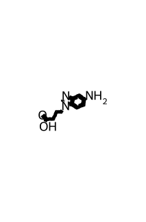 Nc1ccc2c(c1)ncn2CCCC(=O)O